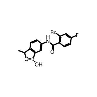 CC1OB(O)c2cc(NC(=O)c3ccc(F)cc3Br)ccc21